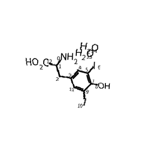 N[C@@H](Cc1cc(I)c(O)c(I)c1)C(=O)O.O.O